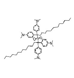 CCCCCCCCCCCCC(c1ccc(N(C)C)cc1)(c1ccc(N(C)C)cc1)S(=O)(=O)C(CCCCCCCCCCCC)(c1ccc(N(C)C)cc1)c1ccc(N(C)C)cc1